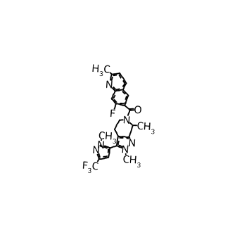 Cc1ccc2cc(C(=O)N3CCc4c(nn(C)c4-c4cc(C(F)(F)F)nn4C)C3C)c(F)cc2n1